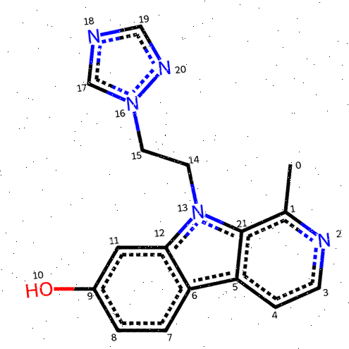 Cc1nccc2c3ccc(O)cc3n(CCn3cncn3)c12